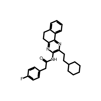 O=C(Cc1ccc(F)cc1)Nc1nc2c(nc1CCC1CCCCC1)-c1ccccc1CC2